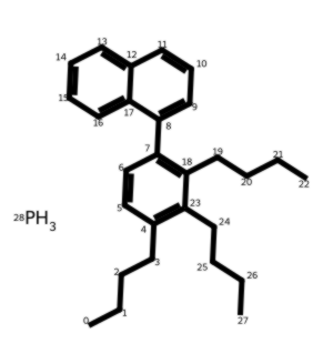 CCCCc1ccc(-c2cccc3ccccc23)c(CCCC)c1CCCC.P